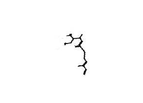 CC/C(C)=C/CC/C(C)=C/C(C)C(CC(=O)O)C(=O)O